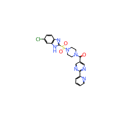 O=C(c1cnc(-c2ccccn2)nc1)N1CCN(S(=O)(=O)c2nc3ccc(Cl)cc3[nH]2)CC1